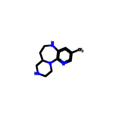 FC(F)(F)c1cnc2c(c1)NCCC1CNCCN21